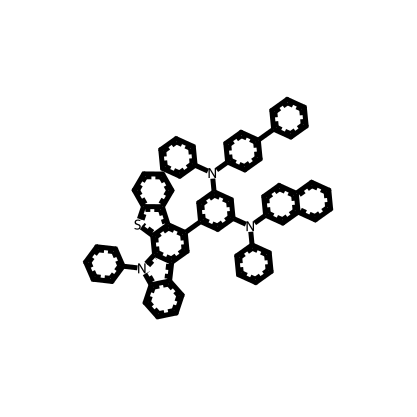 c1ccc(-c2ccc(N(c3ccccc3)c3cc(-c4cc5c6ccccc6n(-c6ccccc6)c5c5sc6ccccc6c45)cc(N(c4ccccc4)c4ccc5ccccc5c4)c3)cc2)cc1